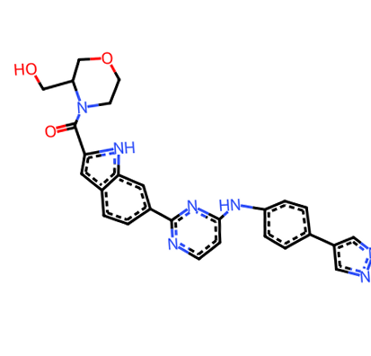 O=C(c1cc2ccc(-c3nccc(Nc4ccc(-c5cn[nH]c5)cc4)n3)cc2[nH]1)N1CCOCC1CO